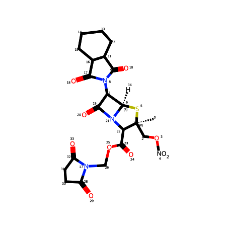 C[C@@]1(CO[N+](=O)[O-])S[C@@H]2C(N3C(=O)C4CCCCC4C3=O)C(=O)N2C1C(=O)OCN1C(=O)CCC1=O